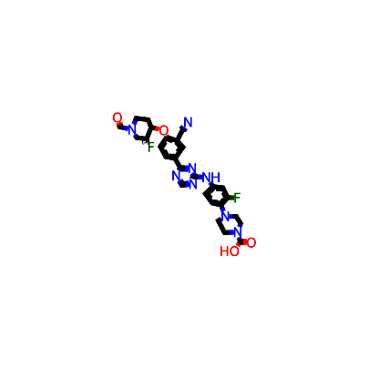 N#Cc1cc(-c2ncnc(Nc3ccc(N4CCN(C(=O)O)CC4)c(F)c3)n2)ccc1OC1CCN(C=O)C[C@@H]1F